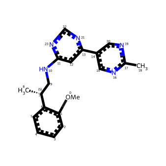 COc1ccccc1[C@H](C)CNc1cc(-c2cnc(C)nc2)ncn1